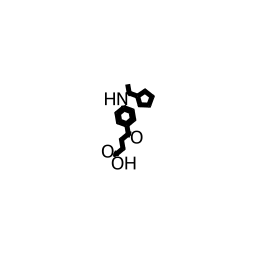 CC(Nc1ccc(C(=O)CCC(=O)O)cc1)C1CCCC1